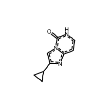 O=c1[nH]ccc2nc(C3CC3)cn12